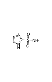 [NH]S(=O)(=O)c1ncc[nH]1